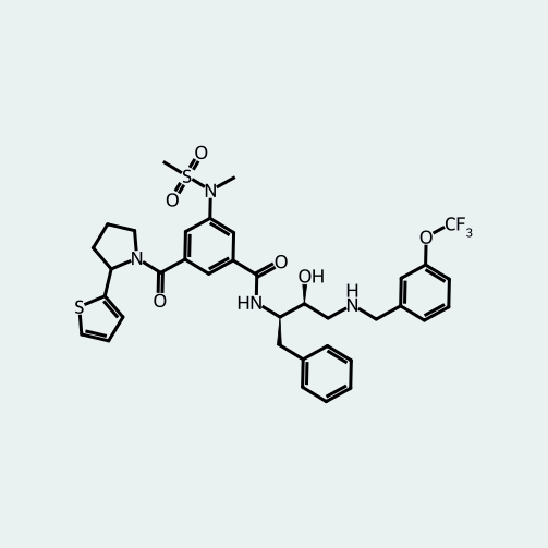 CN(c1cc(C(=O)N[C@H](Cc2ccccc2)[C@@H](O)CNCc2cccc(OC(F)(F)F)c2)cc(C(=O)N2CCCC2c2cccs2)c1)S(C)(=O)=O